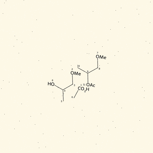 CC(=O)O.COCC(C)O.COCC(C)OC(C)=O